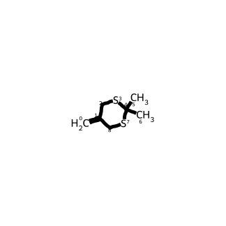 C=C1CSC(C)(C)SC1